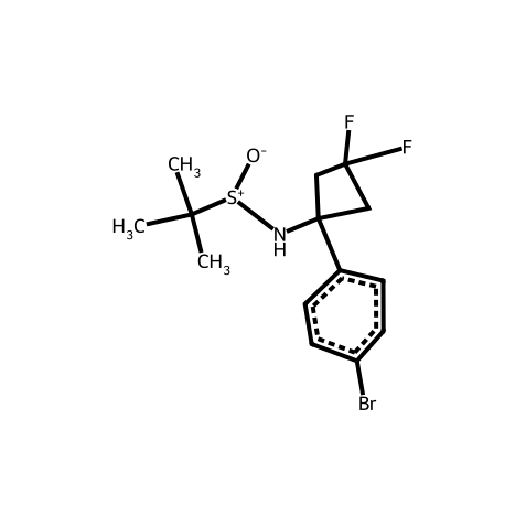 CC(C)(C)[S+]([O-])NC1(c2ccc(Br)cc2)CC(F)(F)C1